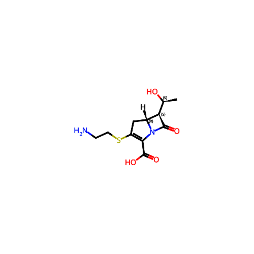 C[C@H](O)[C@H]1C(=O)N2C(C(=O)O)=C(SCCN)C[C@H]12